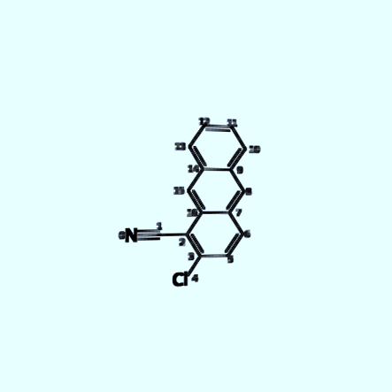 N#Cc1c(Cl)ccc2cc3ccccc3cc12